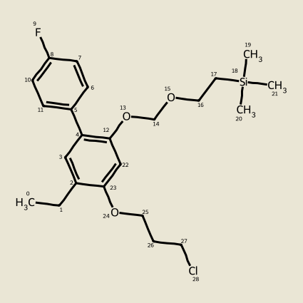 CCc1cc(-c2ccc(F)cc2)c(OCOCC[Si](C)(C)C)cc1OCCCCl